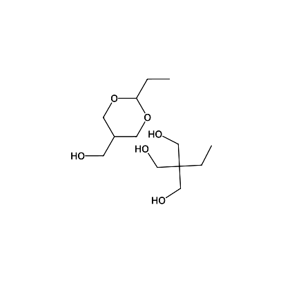 CCC(CO)(CO)CO.CCC1OCC(CO)CO1